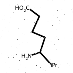 CC(C)C(N)CCCC(=O)O